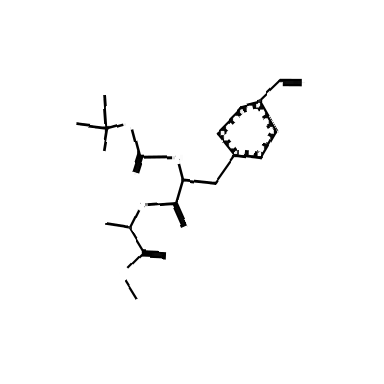 COC(=O)C(C)NC(=O)C(Cc1ccc(C=O)cc1)NC(=O)OC(C)(C)C